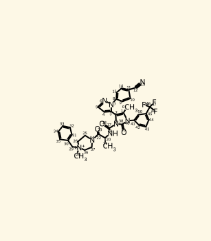 Cc1c(-c2ccnn2-c2ccc(C#N)cc2)n(C(=O)N[C@@H](C)C(=O)N2CC[N+](C)(Cc3ccccc3)CC2)c(=O)n1-c1cccc(C(F)(F)F)c1